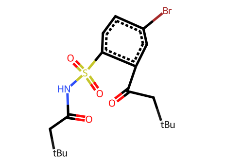 CC(C)(C)CC(=O)NS(=O)(=O)c1ccc(Br)cc1C(=O)CC(C)(C)C